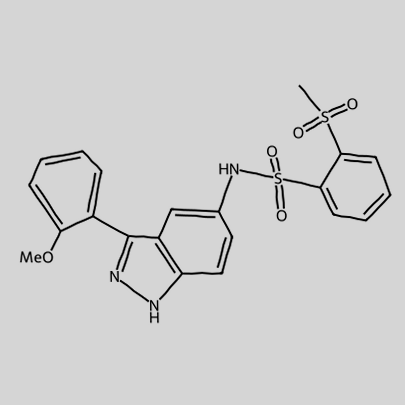 COc1ccccc1-c1n[nH]c2ccc(NS(=O)(=O)c3ccccc3S(C)(=O)=O)cc12